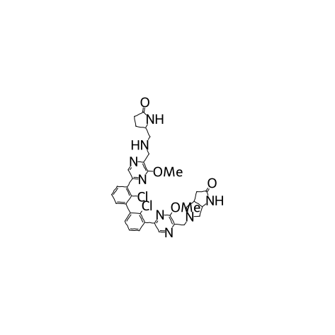 COc1nc(-c2cccc(-c3cccc(-c4cnc(CN5CC6CC(=O)NC6C5)c(OC)n4)c3Cl)c2Cl)cnc1CNCC1CCC(=O)N1